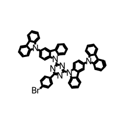 Brc1ccc(-c2nc(-n3c4ccccc4c4cc(-n5c6ccc#cc6c6ccccc65)ccc43)nc(-n3c4ccccc4c4cc(-n5c6ccccc6c6ccccc65)ccc43)n2)cc1